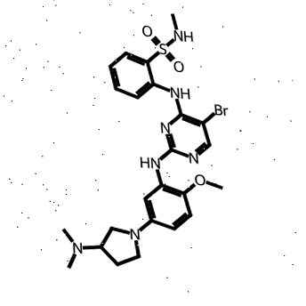 CNS(=O)(=O)c1ccccc1Nc1nc(Nc2cc(N3CCC(N(C)C)C3)ccc2OC)ncc1Br